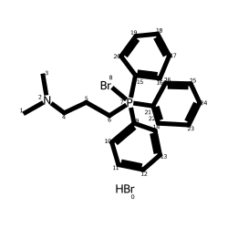 Br.CN(C)CCCP(Br)(c1ccccc1)(c1ccccc1)c1ccccc1